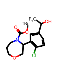 CC(C)(C)OC(=O)N1CCCOCC1c1cc(C(O)C(F)(F)F)ccc1Cl